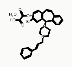 Brc1ccc2c(c1)C(N1CCN(CC=Cc3ccccc3)CC1)c1ccccc1C=C2.O.O=C(O)C(=O)O